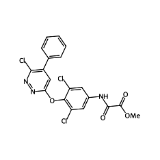 COC(=O)C(=O)Nc1cc(Cl)c(Oc2cc(-c3ccccc3)c(Cl)nn2)c(Cl)c1